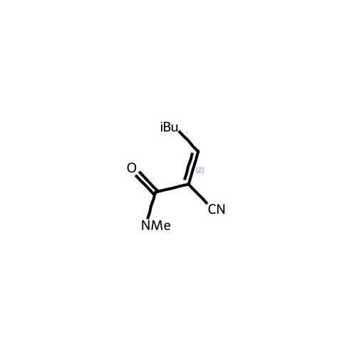 CCC(C)/C=C(/C#N)C(=O)NC